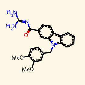 COc1ccc(Cn2c3ccccc3c3ccc(C(=O)N=C(N)N)cc32)cc1OC